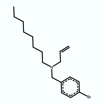 C=CCN(CCCCCCCC)Cc1ccc(Br)cc1